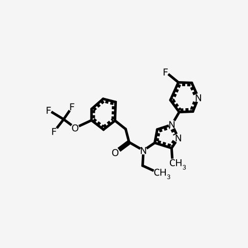 CCN(C(=O)Cc1cccc(OC(F)(F)F)c1)c1cn(-c2cncc(F)c2)nc1C